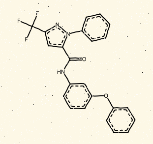 O=C(Nc1cccc(Oc2ccccc2)c1)c1cc(C(F)(F)F)nn1-c1ccccc1